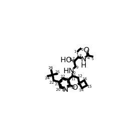 CC[C@H](NC(C)=O)[C@@H](O)CN[C@H]1CC2(CCC2)Oc2ncc(CC(C)(C)C)cc21